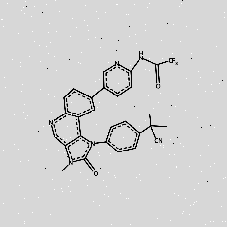 Cn1c(=O)n(-c2ccc(C(C)(C)C#N)cc2)c2c3cc(-c4ccc(NC(=O)C(F)(F)F)nc4)ccc3ncc21